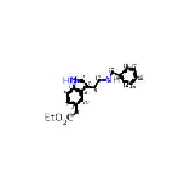 CCOC(=O)Cc1ccc2[nH]cc(CCNCc3ccccc3)c2c1